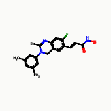 CCC1=Nc2cc(F)c(/C=C/C(=O)NO)cc2CN1c1cc(C)cc(C)c1